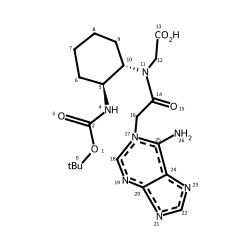 CC(C)(C)OC(=O)N[C@H]1CCCC[C@@H]1N(CC(=O)O)C(=O)Cn1cnc2ncnc-2c1N